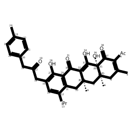 CC(=O)C1=C(C)C[C@@]2(C)C[C@@]3(C)Cc4c(C(C)C)cc(CC(=O)Cc5ccc(C)cc5)c(O)c4C(=O)C3=C(O)[C@@]2(O)C1=O